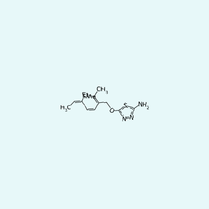 C\C=C(/C=C\C(COc1nnc(N)s1)=C(\C)CC)SC